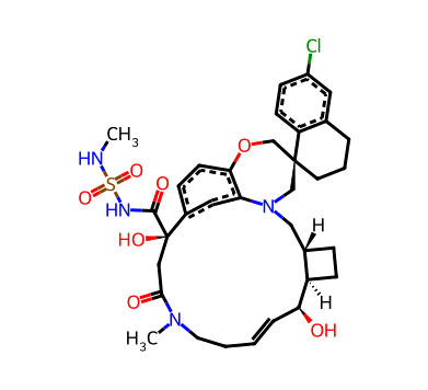 CNS(=O)(=O)NC(=O)[C@@]1(O)CC(=O)N(C)CC/C=C/[C@H](O)[C@@H]2CC[C@H]2CN2C[C@@]3(CCCc4cc(Cl)ccc43)COc3ccc1cc32